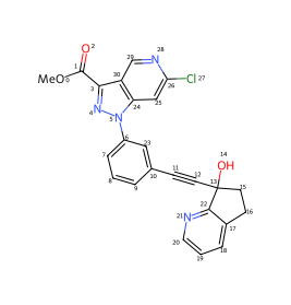 COC(=O)c1nn(-c2cccc(C#CC3(O)CCc4cccnc43)c2)c2cc(Cl)ncc12